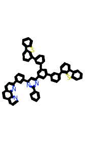 c1ccc(-c2nc(-c3cc(-c4cccc(-c5cccc6c5sc5ccccc56)c4)cc(-c4cccc(-c5cccc6c5sc5ccccc56)c4)c3)cc(-c3cccc(-c4ccc5ccc6cccnc6c5n4)c3)n2)cc1